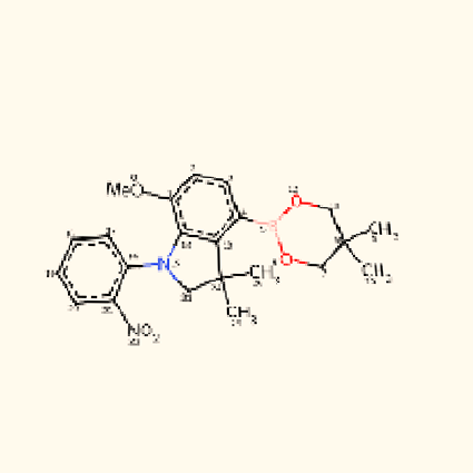 COc1ccc(B2OCC(C)(C)CO2)c2c1N(c1ccccc1[N+](=O)[O-])CC2(C)C